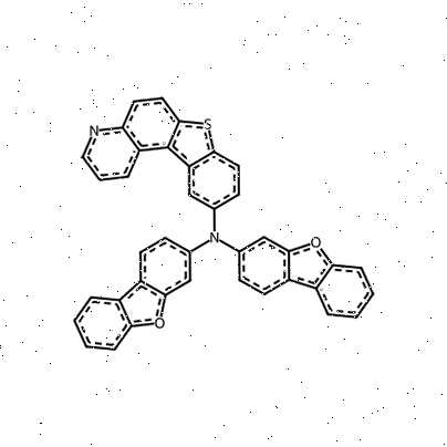 c1ccc2c(c1)oc1cc(N(c3ccc4c(c3)oc3ccccc34)c3ccc4sc5ccc6ncccc6c5c4c3)ccc12